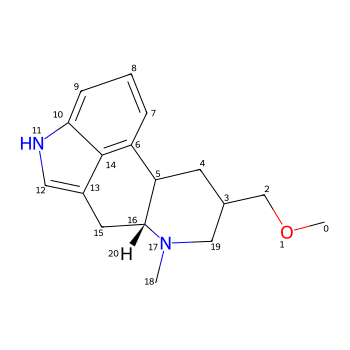 COCC1CC2c3cccc4[nH]cc(c34)C[C@H]2N(C)C1